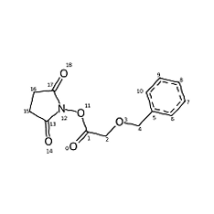 O=C(COCc1ccccc1)ON1C(=O)CCC1=O